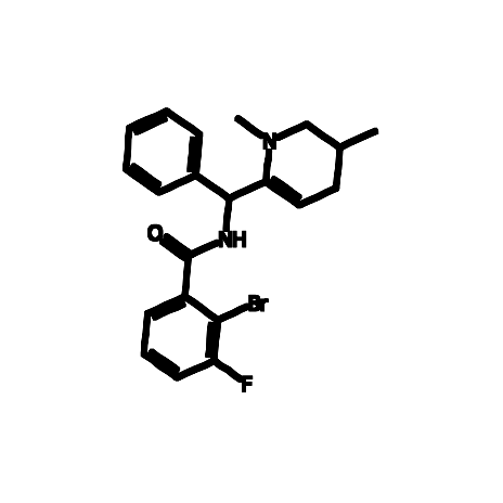 CC1CC=C(C(NC(=O)c2cccc(F)c2Br)c2ccccc2)N(C)C1